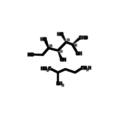 NC(CCC(=O)O)C(=O)O.O=C[C@H](O)[C@@H](O)[C@H](O)[C@H](O)CO